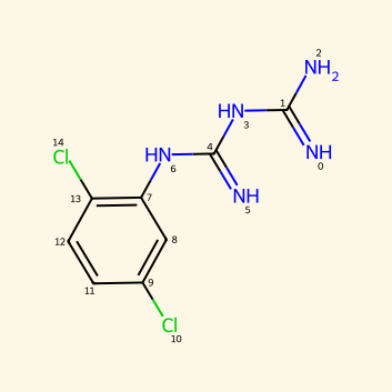 N=C(N)NC(=N)Nc1cc(Cl)ccc1Cl